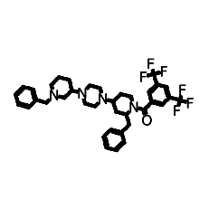 O=C(c1cc(C(F)(F)F)cc(C(F)(F)F)c1)N1CCC(N2CCN(C3CCCN(Cc4ccccc4)C3)CC2)CC1Cc1ccccc1